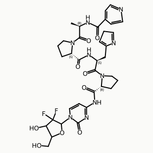 C[C@@H](NC(=O)c1ccncc1)C(=O)N1CCC[C@H]1C(=O)N[C@@H](CC1=CCC=N1)C(=O)N1CCC[C@@H]1C(=O)Nc1ccn(C2OC(CO)C(O)C2(F)F)c(=O)n1